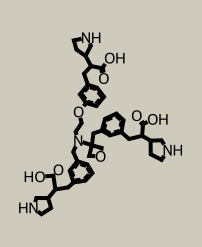 O=C(O)C(Cc1cccc(CN(CCOc2cccc(CC(C(=O)O)C3CCNC3)c2)C2(Cc3cccc(CC(C(=O)O)C4CCNC4)c3)COC2)c1)C1CCNC1